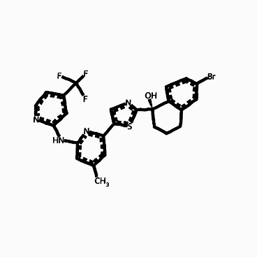 Cc1cc(Nc2cc(C(F)(F)F)ccn2)nc(-c2cnc([C@@]3(O)CCCc4cc(Br)ccc43)s2)c1